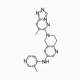 Cc1cnccc1Nc1cnc2c(c1)CN(c1nn3cnnc3cc1C)CC2